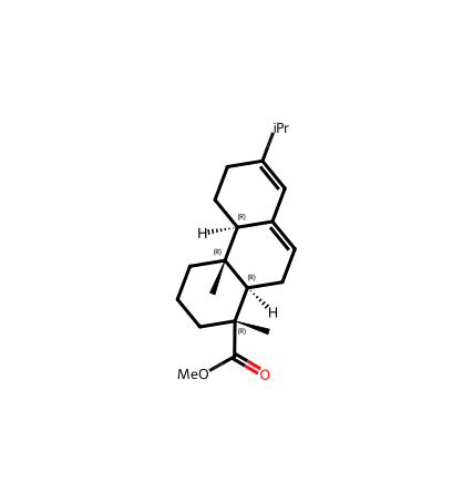 COC(=O)[C@]1(C)CCC[C@@]2(C)[C@H]1CC=C1C=C(C(C)C)CC[C@@H]12